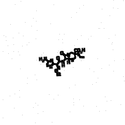 C=CSC1(C(=O)O)CS[C@@H]2C(NC(=O)C(=NOCC)c3nsc(N)n3)C(=O)N2C1